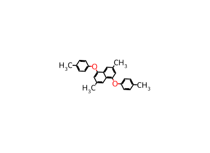 Cc1ccc(Oc2cc(C)cc3c(Oc4ccc(C)cc4)cc(C)cc23)cc1